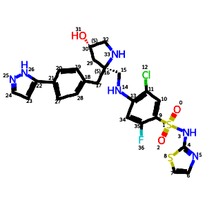 O=S(=O)(Nc1nccs1)c1cc(Cl)c(NC[C@]2(Cc3ccc(-c4ccn[nH]4)cc3)C[C@H](O)CN2)cc1F